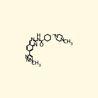 CN1CCN(C[C@H]2CC[C@H](C(=O)Nc3ncc4ccc(-c5cn(C)nn5)cc4n3)CC2)CC1